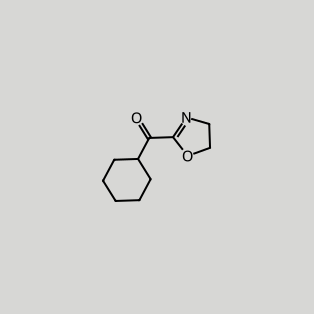 O=C(C1=NCCO1)C1CCCCC1